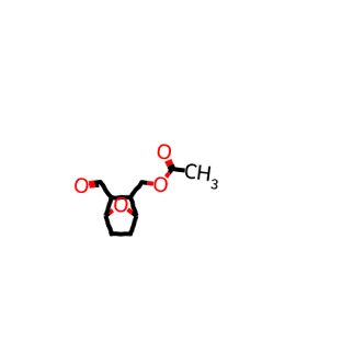 CC(=O)OCC1C2CCC(O2)C1C=O